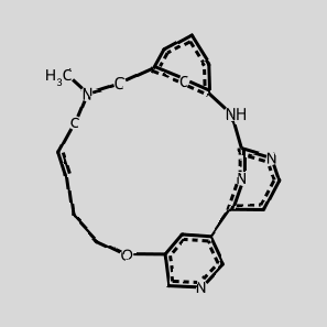 CN1C/C=C/CCOc2cncc(c2)-c2ccnc(n2)Nc2cccc(c2)C1